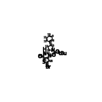 CC(C)(C)OC(=O)N1C[C@H](c2ccccc2)C[C@H]1c1nc2cc(Br)sc2c(=O)[nH]1